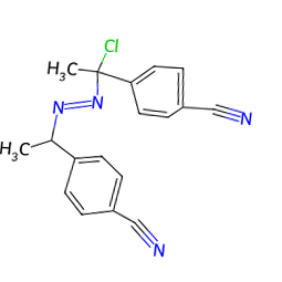 CC(/N=N/C(C)(Cl)c1ccc(C#N)cc1)c1ccc(C#N)cc1